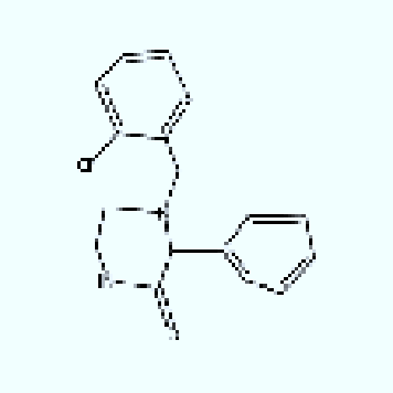 O=C1NCCN(Cc2ccccc2Cl)C1c1ccccc1